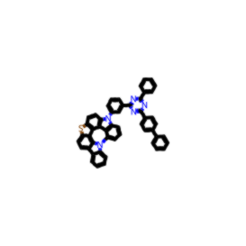 c1ccc(-c2ccc(-c3nc(-c4ccccc4)nc(-c4cccc(-n5c6ccc7sc8ccc9c%10ccccc%10n%10c%11cccc5c%11c6c7c8c9%10)c4)n3)cc2)cc1